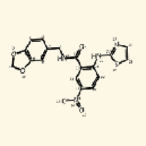 O=C(NCc1ccc2c(c1)OCO2)c1cc([N+](=O)[O-])ccc1Nc1nccs1